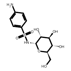 Nc1ccc(S(=O)(=O)N[C@H]2O[C@H](CO)[C@@H](O)[C@H](O)[C@H]2O)cc1